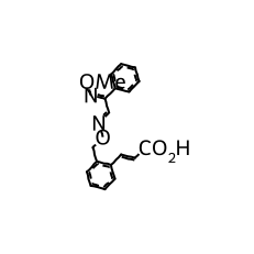 CON=C(C=NOCc1ccccc1C=CC(=O)O)c1ccccc1